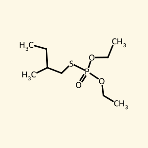 CCOP(=O)(OCC)SCC(C)CC